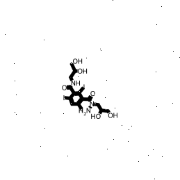 NN(CC(O)CO)C(=O)c1c(I)cc(I)c(C(=O)NCC(O)CO)c1I